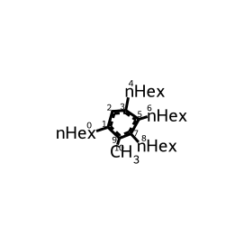 CCCCCCc1cc(CCCCCC)c(CCCCCC)c(CCCCCC)c1C